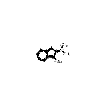 C[Si](C)=C1[C]=c2ccccc2=C1C(C)(C)C